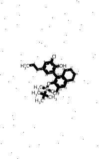 CCCc1cc(Cl)c(O)c(-c2c3c(cc(Cl)c2O[Si](C)(C)C(C)(C)C)CCCC3)c1